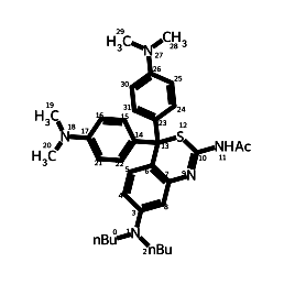 CCCCN(CCCC)c1ccc2c(c1)N=C(NC(C)=O)SC2(c1ccc(N(C)C)cc1)c1ccc(N(C)C)cc1